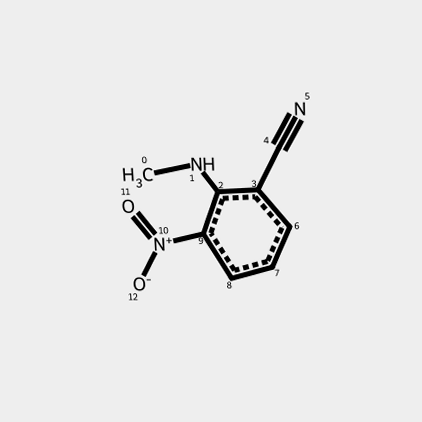 CNc1c(C#N)cccc1[N+](=O)[O-]